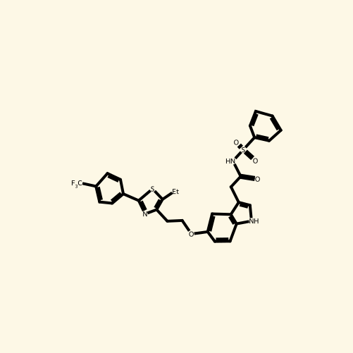 CCc1sc(-c2ccc(C(F)(F)F)cc2)nc1CCOc1ccc2[nH]cc(CC(=O)NS(=O)(=O)c3ccccc3)c2c1